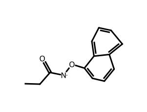 CCC(=O)[N]Oc1cccc2ccccc12